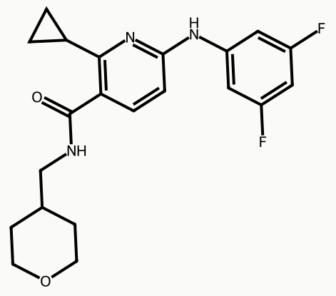 O=C(NCC1CCOCC1)c1ccc(Nc2cc(F)cc(F)c2)nc1C1CC1